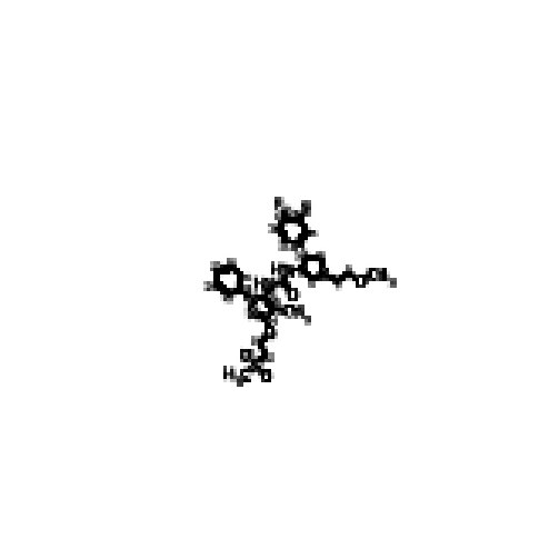 COCCN1C[C@@H](NC(=O)Nc2c(C)c(OCCS(C)(=O)=O)nn2-c2ccccc2)[C@H](c2ccc(F)c(F)c2)C1